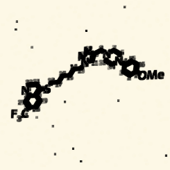 COc1ccc(N2CCN(Cc3cn(CCCCCCSc4ccnc5cc(C(F)(F)F)ccc45)nn3)CC2)cc1